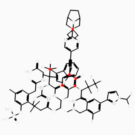 COC(=O)N[C@H](C(=O)N[C@@H](Cc1ccc(C#Cc2cnc(N3CC4CCC(C3)N4C3COC3)nc2)cc1)[C@H](CN(Cc1c(F)cc(-c2ccn(C(F)F)n2)cc1F)NC(=O)[C@@H](NC(=O)OC)C(C)(C)C(F)(F)F)OC(=O)CC(C)(C)c1c(CC(=O)N[C@@H](Cc2c[nH]c3ccccc23)C(=O)O)cc(C)cc1OP(=O)(O)O)C(C)(C)C(F)(F)F